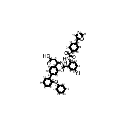 O=C(O)CC(NC(=O)c1cc(Cl)ccc1NS(=O)(=O)c1ccc(-c2cnco2)cc1)c1ccc(-c2ccccc2Oc2ccccc2)cc1